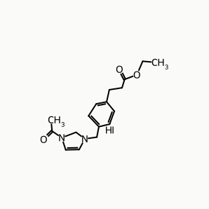 CCOC(=O)CCc1ccc(CN2C=CN(C(C)=O)C2)cc1.I